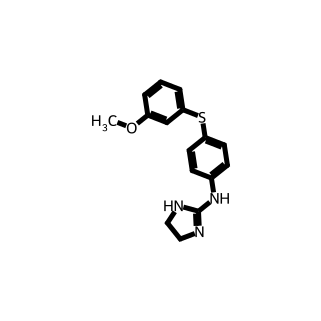 COc1cccc(Sc2ccc(NC3=NCCN3)cc2)c1